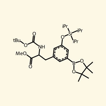 COC(=O)C(Cc1cc(O[Si](C(C)C)(C(C)C)C(C)C)cc(B2OC(C)(C)C(C)(C)O2)c1)NC(=O)OC(C)(C)C